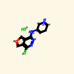 Cl.Clc1nnc(N[C@@H]2CCCNC2)c2c1COC2